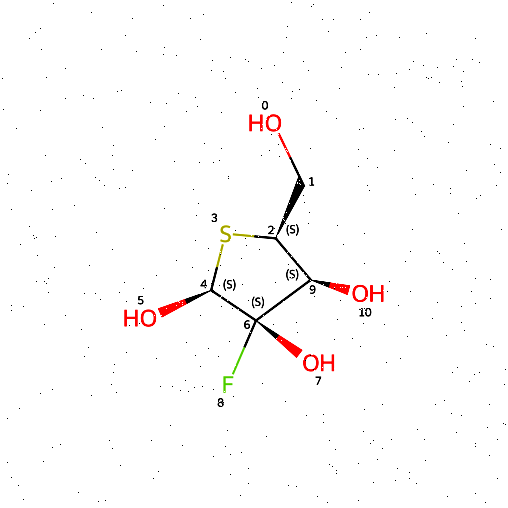 OC[C@@H]1S[C@H](O)[C@@](O)(F)[C@@H]1O